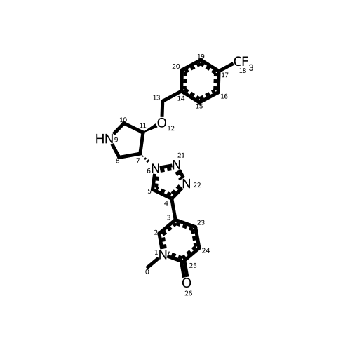 Cn1cc(-c2cn([C@@H]3CNC[C@H]3OCc3ccc(C(F)(F)F)cc3)nn2)ccc1=O